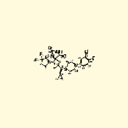 CC(CC1(CN2CCC(F)(F)C2)NC(=O)NC1=O)C(=C1CC1)N1CCN(c2ccc(F)c(Cl)c2)CC1